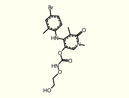 Cc1cc(Br)ccc1Nc1c(OC(=O)NOCCO)cn(C)c(=O)c1C